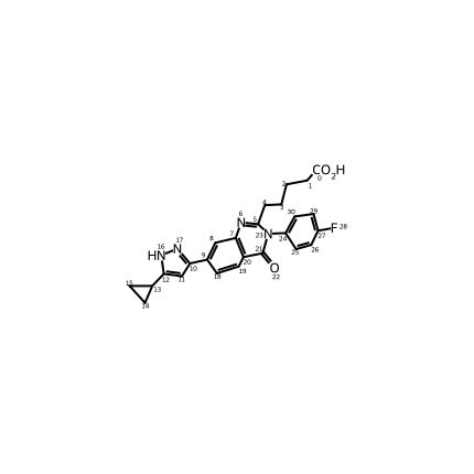 O=C(O)CCCCc1nc2cc(-c3cc(C4CC4)[nH]n3)ccc2c(=O)n1-c1ccc(F)cc1